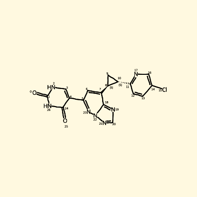 O=c1[nH]cc(-c2cc([C@H]3C[C@@H]3c3ccc(Cl)cn3)c3ncnn3n2)c(=O)[nH]1